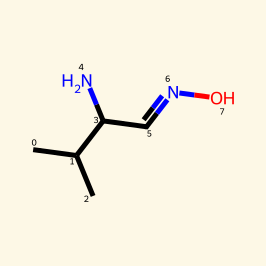 CC(C)C(N)C=NO